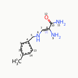 Cc1ccc(CN/C=C(\N)C(N)=O)cc1